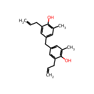 C=CCc1cc(Cc2cc(C)c(O)c(CC=C)c2)cc(C)c1O